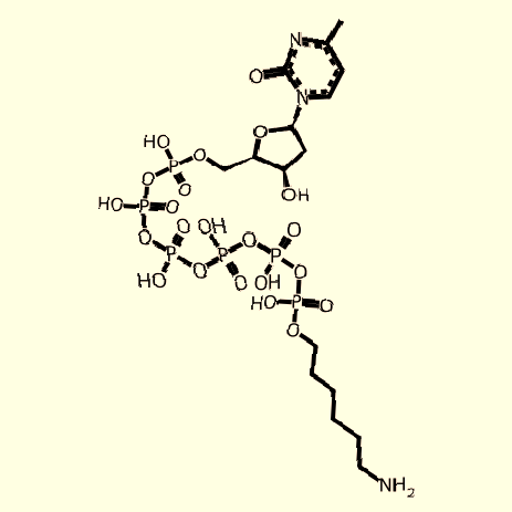 Cc1ccn([C@H]2C[C@@H](O)[C@@H](COP(=O)(O)OP(=O)(O)OP(=O)(O)OP(=O)(O)OP(=O)(O)OP(=O)(O)OCCCCCCN)O2)c(=O)n1